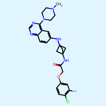 CN1CCN(c2ncnc3ccc(NC45CC(NC(=O)COc6ccc(Cl)c(F)c6)(C4)C5)cc23)CC1